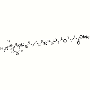 COC(=O)CCCOCCOCCOCCCCCCOc1cccc([C@@H](C)N)c1